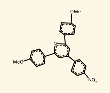 COc1ccc(-c2cc(-c3ccc([N+](=O)[O-])cc3)cc(-c3ccc(OC)cc3)n2)cc1